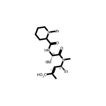 CC[C@@H](/C=C(\C)C(=O)O)N(C)C(=O)[C@@H](NC(=O)C1CCCCN1C(C)C)C(C)(C)C